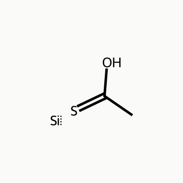 CC(O)=S.[Si]